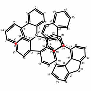 c1ccc(-c2ccccc2N(c2ccc(-c3cccc4sc5ccccc5c34)cc2)c2ccccc2-c2cccc3oc4c5ccccc5ccc4c23)cc1